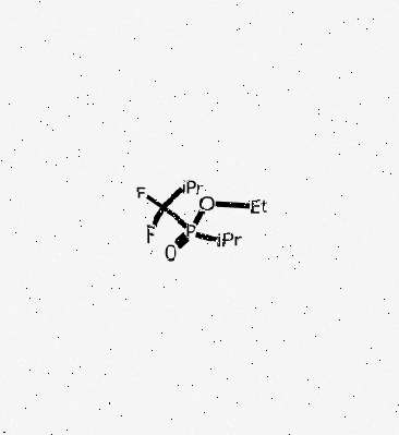 CCOP(=O)(C(C)C)C(F)(F)C(C)C